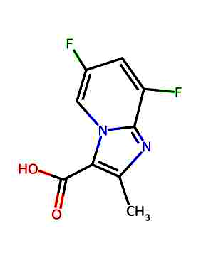 Cc1nc2c(F)cc(F)cn2c1C(=O)O